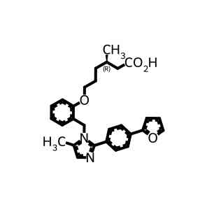 Cc1cnc(-c2ccc(-c3ccco3)cc2)n1Cc1ccccc1OCCC[C@@H](C)CC(=O)O